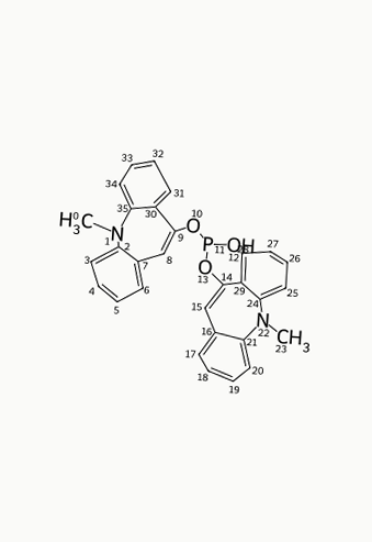 CN1c2ccccc2C=C(OP(O)OC2=Cc3ccccc3N(C)c3ccccc32)c2ccccc21